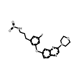 O=[SH](=O)NCCCc1cc(F)cc(Oc2ccc3ncc(N4CCOCC4)nc3c2)c1